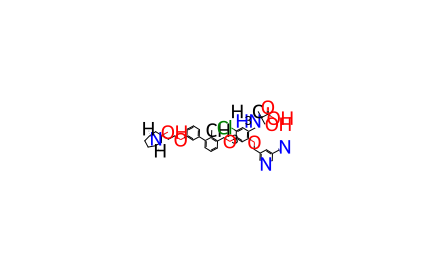 Cc1c(COc2cc(OCc3cncc(C#N)c3)c(CNC(C)(CO)C(=O)O)cc2Cl)cccc1-c1cccc(OCCCN2[C@@H]3CC[C@H]2CC(O)C3)c1